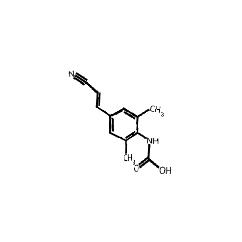 Cc1cc(C=CC#N)cc(C)c1NC(=O)O